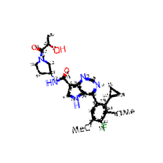 COc1cc(-c2ncnc3c(C(=O)N[C@@H]4CCN(C(=O)C(C)O)C4)c[nH]c23)c(C2CC2)c(OC)c1F